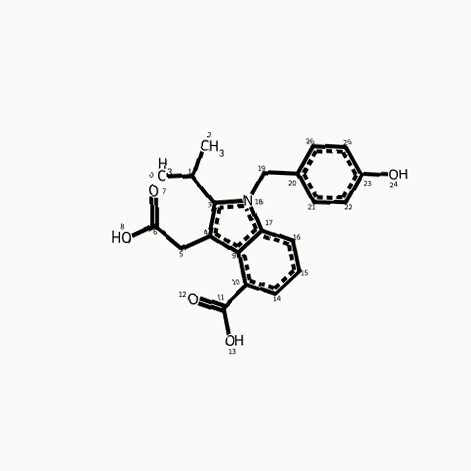 CC(C)c1c(CC(=O)O)c2c(C(=O)O)cccc2n1Cc1ccc(O)cc1